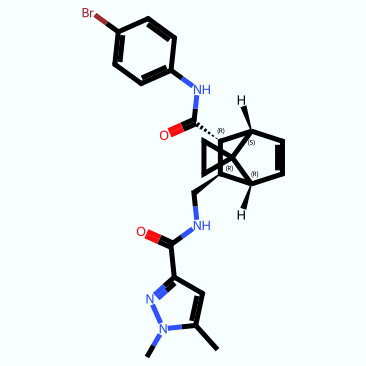 Cc1cc(C(=O)NC[C@H]2[C@H](C(=O)Nc3ccc(Br)cc3)[C@@H]3C=C[C@H]2C32CC2)nn1C